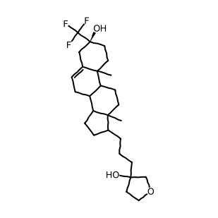 CC12CC[C@@](O)(C(F)(F)F)CC1=CCC1C2CCC2(C)C(CCCC3(O)CCOC3)CCC12